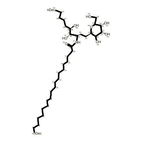 CCCCCCCCCCCCCCCCCCCCCCCCCCCCC(=O)N[C@@H](CC[C@H]1OC(CO)[C@H](O)[C@H](O)C1O)[C@H](O)[C@H](O)CCCCCCCCCCCCCC